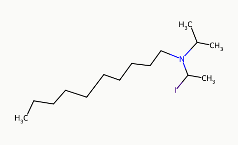 CCCCCCCCCCN(C(C)C)C(C)I